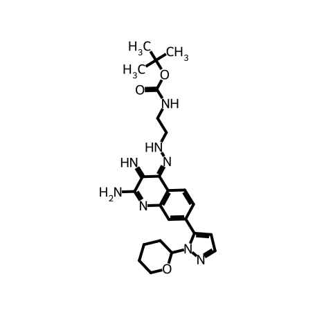 CC(C)(C)OC(=O)NCCN/N=C1\C(=N)C(N)=Nc2cc(-c3ccnn3C3CCCCO3)ccc21